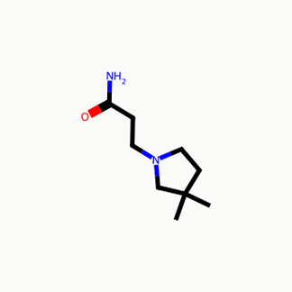 CC1(C)CCN(CCC(N)=O)C1